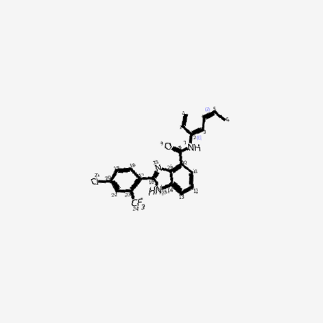 C=C/C(=C\C=C/C)NC(=O)c1cccc2[nH]c(-c3ccc(Cl)cc3C(F)(F)F)nc12